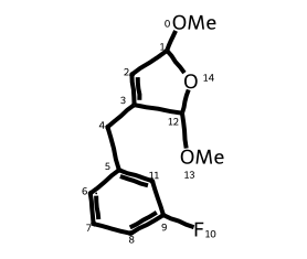 COC1C=C(Cc2[c]ccc(F)c2)C(OC)O1